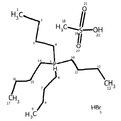 Br.CCCC[PH](CCCC)(CCCC)CCCC.CS(=O)(=O)O